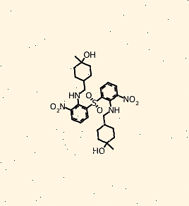 CC1(O)CCC(CNc2c([N+](=O)[O-])cccc2S(=O)(=O)c2cccc([N+](=O)[O-])c2NCC2CCC(C)(O)CC2)CC1